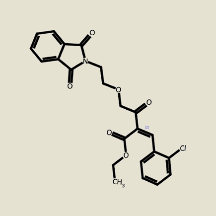 CCOC(=O)/C(=C\c1ccccc1Cl)C(=O)COCCN1C(=O)c2ccccc2C1=O